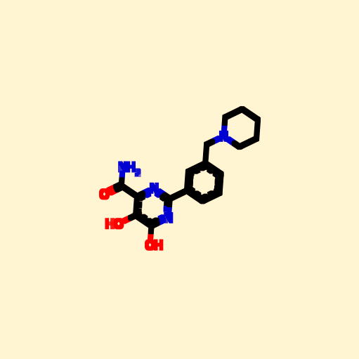 NC(=O)c1nc(-c2cccc(CN3CCCCC3)c2)nc(O)c1O